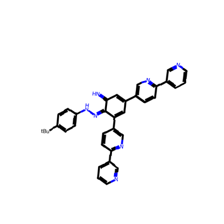 CC(C)(C)c1ccc(N/N=C2\C(=N)C=C(c3ccc(-c4cccnc4)nc3)C=C2c2ccc(-c3cccnc3)nc2)cc1